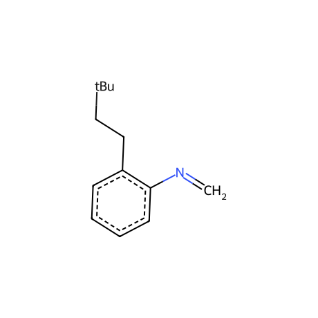 C=Nc1ccccc1CCC(C)(C)C